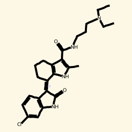 CCN(CC)CCCNC(=O)c1c(C)[nH]c2c1CCC/C2=C1/C(=O)Nc2cc(Cl)ccc21